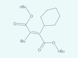 CCCCOC(=O)C(=C(C(=O)OCCCC)C1CCCCC1)C(C)CC